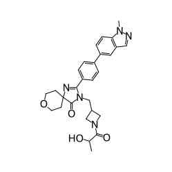 CC(O)C(=O)N1CC(CN2C(=O)C3(CCOCC3)N=C2c2ccc(-c3ccc4c(cnn4C)c3)cc2)C1